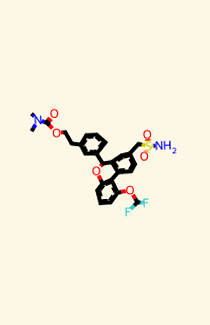 CN(C)C(=O)OCCc1cccc(C2Oc3cccc(OC(F)F)c3-c3ccc(CS(N)(=O)=O)cc32)c1